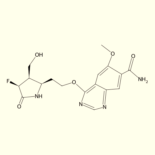 COc1cc2c(OCC[C@H]3NC(=O)[C@@H](F)[C@H]3CO)ncnc2cc1C(N)=O